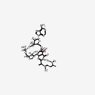 CCN(CC)C(C)CCN(CC)C(C)c1nc2c(c(F)cn2[C@]23CO[C@H](COP(=O)(O)O[C@@H]4C(COP(=O)(O)O2)O[C@@H](n2cnc5c(N)ncnc52)[C@@H]4F)[C@H]3O)c(=O)[nH]1